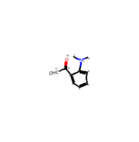 CN(C)c1ccccc1C(=O)C=O